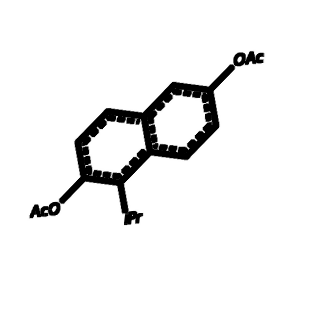 CC(=O)Oc1ccc2c(C(C)C)c(OC(C)=O)ccc2c1